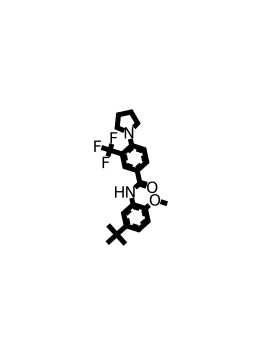 COc1ccc(C(C)(C)C)cc1NC(=O)c1ccc(N2CCCC2)c(C(F)(F)F)c1